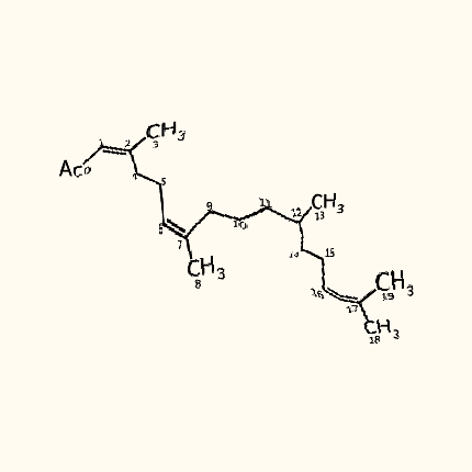 CC(=O)C=C(C)CCC=C(C)CCCC(C)CCC=C(C)C